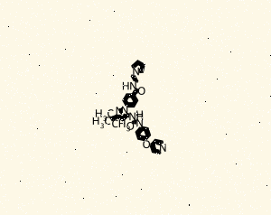 CC(C)(C)c1cc(NC(=O)Nc2ccc(Oc3ccncc3)cc2)n(C2=CC=C(C(=O)NCCN3CCCC3)CC2)n1